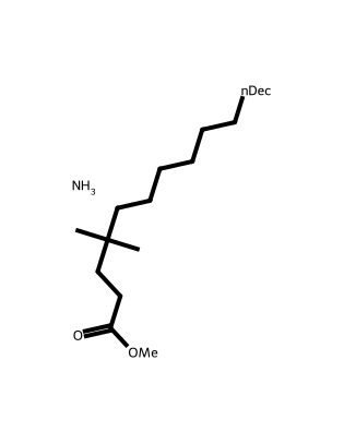 CCCCCCCCCCCCCCCCC(C)(C)CCC(=O)OC.N